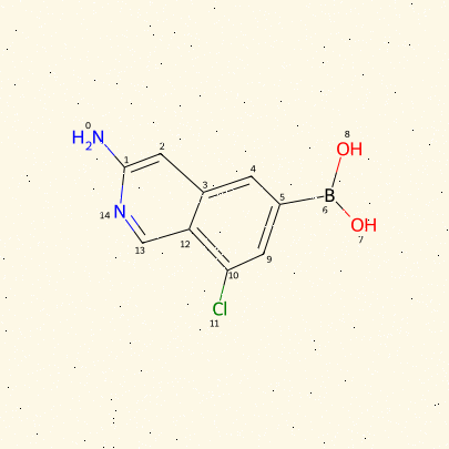 Nc1cc2cc(B(O)O)cc(Cl)c2cn1